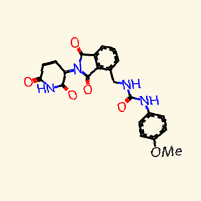 COc1ccc(NC(=O)NCc2cccc3c2C(=O)N(C2CCC(=O)NC2=O)C3=O)cc1